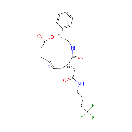 O=C(C[C@@H]1C/C=C/CCC(=O)O[C@H](c2ccccc2)CNC1=O)NCCCC(F)(F)F